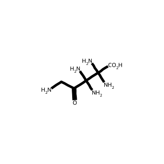 NCC(=O)C(N)(N)C(N)(N)C(=O)O